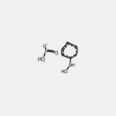 O=[N+]([O-])O.ONc1ccccc1